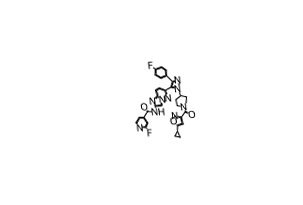 O=C(Nc1cn2nc(-c3c(-c4ccc(F)cc4)ncn3C3CCN(C(=O)c4cc(C5CC5)on4)CC3)ccc2n1)c1ccnc(F)c1